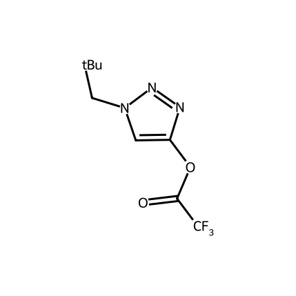 CC(C)(C)Cn1cc(OC(=O)C(F)(F)F)nn1